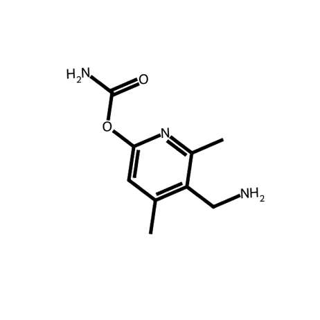 Cc1cc(OC(N)=O)nc(C)c1CN